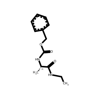 CCNC(=O)[C@H](C)NC(=O)OCc1ccccc1